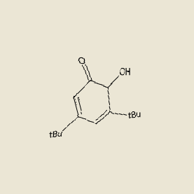 CC(C)(C)C1=CC(=O)C(O)C(C(C)(C)C)=C1